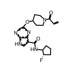 C=CC(=O)N1CCC(Oc2cnc3[nH]cc(C(=O)NC4CCC[C@@H]4F)c3n2)CC1